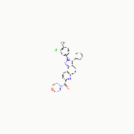 N#Cc1ccc(N2N=C3c4ccc(C(=O)N5CCOCC5)nc4CCC3C2C2CCCC2)cc1Cl